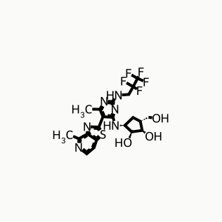 Cc1nc(NCC(F)(F)C(F)(F)F)nc(N[C@@H]2C[C@H](CO)[C@@H](O)[C@H]2O)c1-c1nc2c(C)nccc2s1